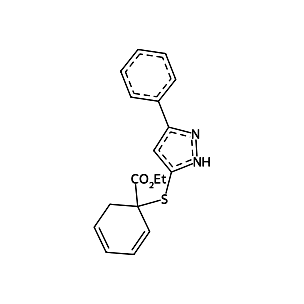 CCOC(=O)C1(Sc2cc(-c3ccccc3)n[nH]2)C=CC=CC1